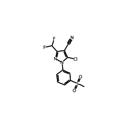 CS(=O)(=O)c1cccc(-n2nc(C(F)F)c(C#N)c2Cl)c1